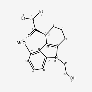 CCN(CC)C(=O)[C@H]1CCCc2c1c1c(OC)cccc1n2CCO